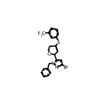 FC(F)(F)c1cccc(SC2CCOC(c3cc(Br)nn3Cc3ccccc3)C2)c1